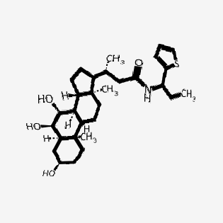 CCC(NC(=O)C[C@@H](C)C1CC[C@H]2[C@@H]3[C@H](O)[C@H](O)[C@@H]4C[C@H](O)CC[C@]4(C)[C@H]3CC[C@]12C)c1cccs1